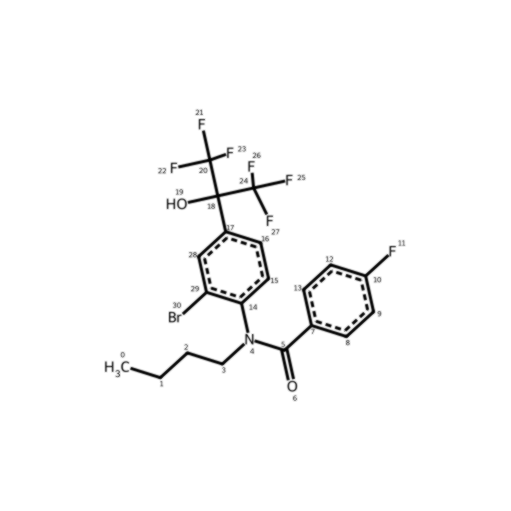 CCCCN(C(=O)c1ccc(F)cc1)c1ccc(C(O)(C(F)(F)F)C(F)(F)F)cc1Br